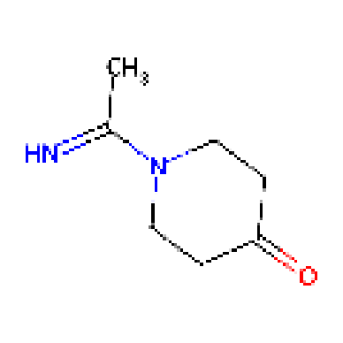 CC(=N)N1CCC(=O)CC1